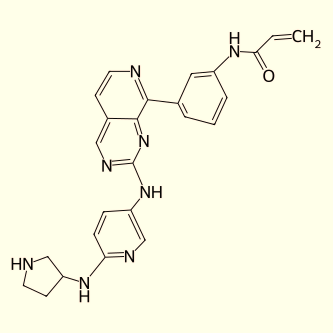 C=CC(=O)Nc1cccc(-c2nccc3cnc(Nc4ccc(NC5CCNC5)nc4)nc23)c1